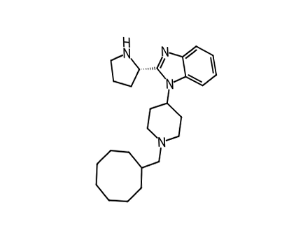 c1ccc2c(c1)nc([C@@H]1CCCN1)n2C1CCN(CC2CCCCCCC2)CC1